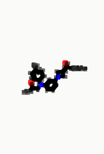 CCCC1CN(c2cccc(N3CC(C(=O)OC)C3)c2)C2CC=C(C(F)(F)F)C=C2O1